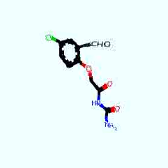 NC(=O)NC(=O)COc1ccc(Cl)cc1C=O